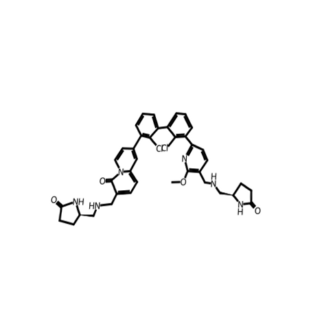 COc1nc(-c2cccc(-c3cccc(-c4ccn5c(=O)c(CNC[C@H]6CCC(=O)N6)ccc5c4)c3Cl)c2Cl)ccc1CNC[C@H]1CCC(=O)N1